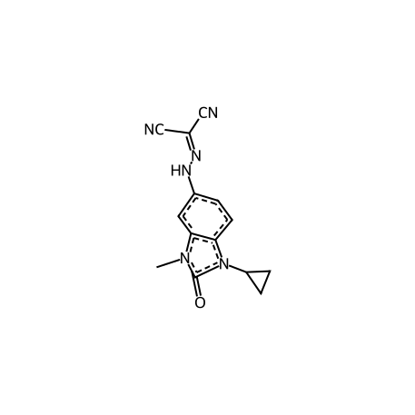 Cn1c(=O)n(C2CC2)c2ccc(NN=C(C#N)C#N)cc21